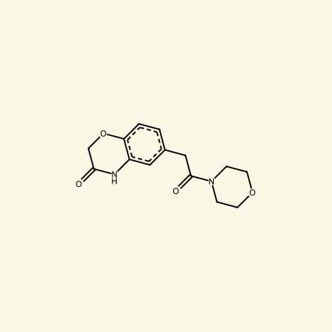 O=C1COc2ccc(CC(=O)N3CCOCC3)cc2N1